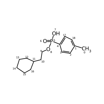 Cc1ccc(P(=O)(O)OCCC2CCCCC2)cc1